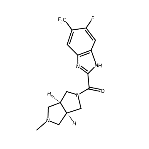 CN1C[C@@H]2CN(C(=O)c3nc4cc(C(F)(F)F)c(F)cc4[nH]3)C[C@@H]2C1